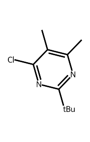 Cc1nc(C(C)(C)C)nc(Cl)c1C